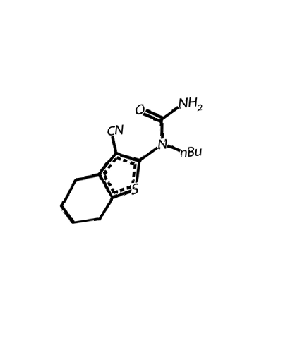 CCCCN(C(N)=O)c1sc2c(c1C#N)CCCC2